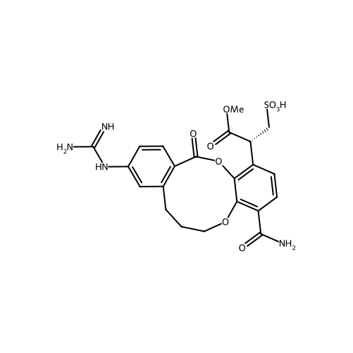 COC(=O)[C@H](CS(=O)(=O)O)c1ccc(C(N)=O)c2c1OC(=O)c1ccc(NC(=N)N)cc1CCCO2